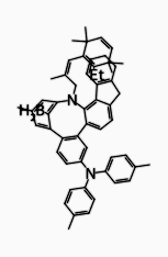 Bc1c2cc(C)cc1N(C/C(C)=C\C1=C(CC)C(C)(C)C=CC1(C)C)c1c(ccc3c1C1=C(CCC=C1)C3)-c1cc(N(c3ccc(C)cc3)c3ccc(C)cc3)ccc1-2